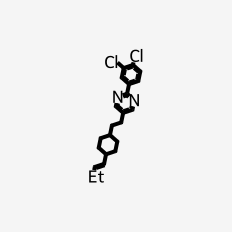 CCC=CC1CCC(CCc2cnc(-c3ccc(Cl)c(Cl)c3)nc2)CC1